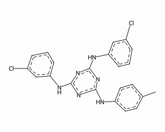 Cc1ccc(Nc2nc(Nc3cccc(Cl)c3)nc(Nc3cccc(Cl)c3)n2)cc1